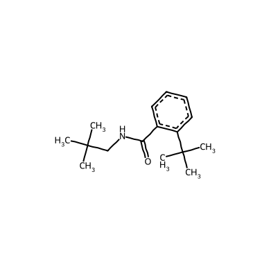 CC(C)(C)CNC(=O)c1ccccc1C(C)(C)C